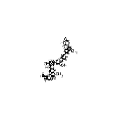 Cn1nc(C2CCC(=O)NC2=O)c2ccc(N3CCC(CN4CCN(c5ncc(Cl)c(Nc6ccc7c(c6)c6c(c(=O)n7C)OCC(F)(F)C(C7CC7)N6)n5)CC4CO)CC3)cc21